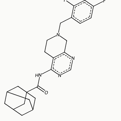 O=C(Nc1ncnc2c1CCN(Cc1ccc(F)cc1F)C2)C12CC3CC(CC(C3)C1)C2